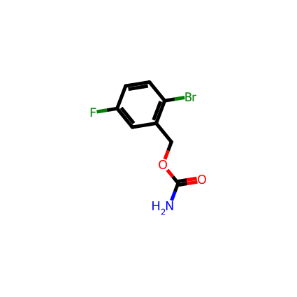 NC(=O)OCc1cc(F)ccc1Br